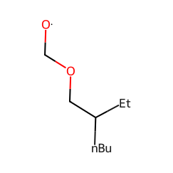 CCCCC(CC)COC[O]